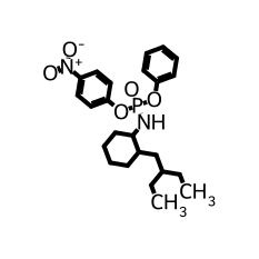 CCC(CC)CC1CCCCC1NP(=O)(Oc1ccccc1)Oc1ccc([N+](=O)[O-])cc1